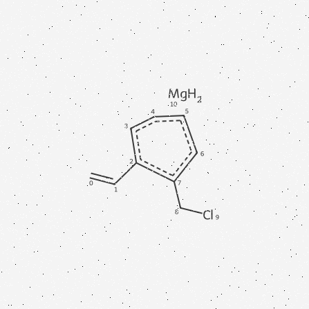 C=Cc1ccccc1CCl.[MgH2]